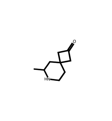 CC1CC2(CCN1)CC(=O)C2